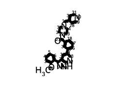 COc1ccccc1-c1n[nH]c2ncc(-c3cccc(C(=O)N4CCN(Cc5ccncc5)CC4)c3)cc12